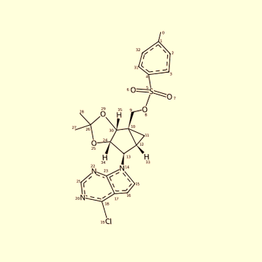 Cc1ccc(S(=O)(=O)OC[C@@]23C[C@@H]2[C@@H](n2ccc4c(Cl)ncnc42)[C@@H]2OC(C)(C)O[C@@H]23)cc1